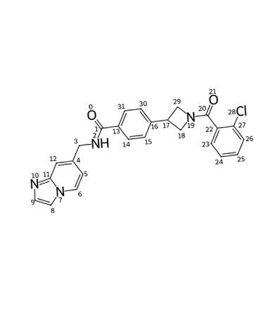 O=C(NCc1ccn2ccnc2c1)c1ccc(C2CN(C(=O)c3ccccc3Cl)C2)cc1